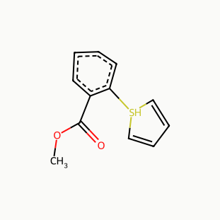 COC(=O)c1ccccc1[SH]1C=CC=C1